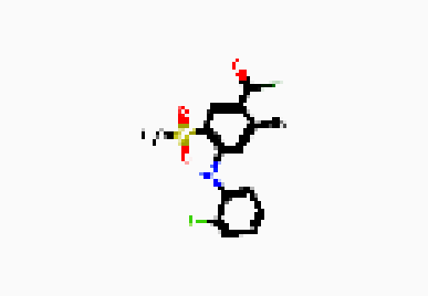 CCc1cc(Nc2ccccc2F)c(S(C)(=O)=O)cc1C(=O)Cl